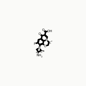 C[C@@H]1COc2c(N3C[C@@H](N)[C@@H]3C)c(F)cc3c(=O)c(C(=O)O)cn1c23